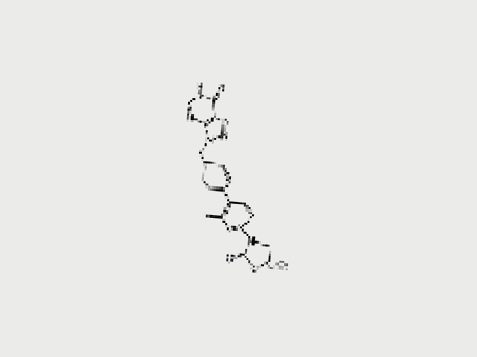 CC[C@H]1CN(c2ccc(-c3ccc(Cn4nnc5c(=O)[nH]cnc54)cc3)c(F)c2)C(=O)O1